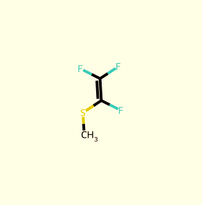 CSC(F)=C(F)F